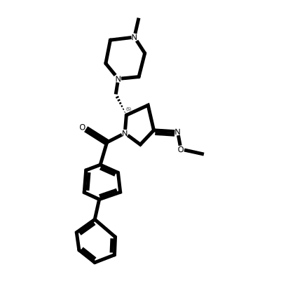 CON=C1C[C@@H](CN2CCN(C)CC2)N(C(=O)c2ccc(-c3ccccc3)cc2)C1